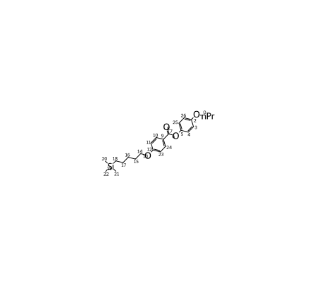 CCCOc1ccc(OC(=O)c2ccc(OCCCCC[Si](C)(C)C)cc2)cc1